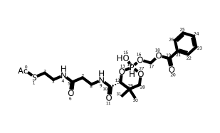 CC(=O)SCCNC(=O)CCNC(=O)[C@@H]1O[PH](O)(OCOC(=O)c2ccccc2)OCC1(C)C